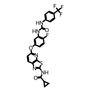 O=C(Nc1ccc(C(F)(F)F)cc1)Nc1cc(Oc2ccc3nc(NC(=O)C4CC4)sc3n2)ccc1F